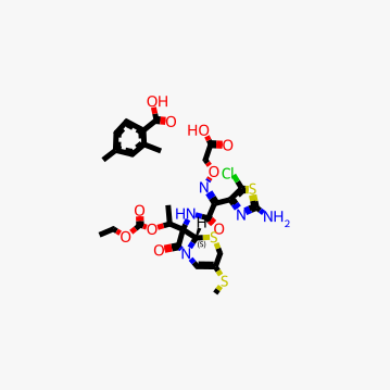 CCOC(=O)OC(C)C1(NC(=O)C(=NOCC(=O)O)c2nc(N)sc2Cl)C(=O)N2C=C(SC)CS[C@H]21.Cc1ccc(C(=O)O)c(C)c1